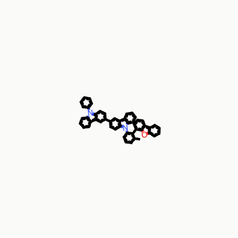 Cc1cccc(-n2c3ccccc3c3cc(-c4ccc5c(c4)c4ccccc4n5-c4ccccc4)ccc32)c1-c1cccc2c1oc1ccccc12